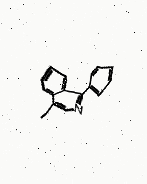 Cc1cnc(-c2ccccc2)c2ccccc12